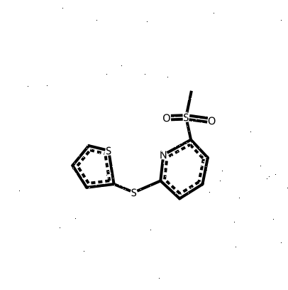 CS(=O)(=O)c1cccc(Sc2cccs2)n1